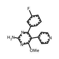 COc1nc(N)nc(-c2cccc(F)c2)c1-c1ccncc1